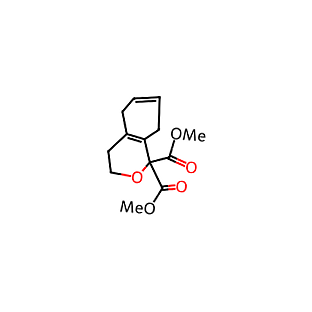 COC(=O)C1(C(=O)OC)OCCC2=C1CC=CC2